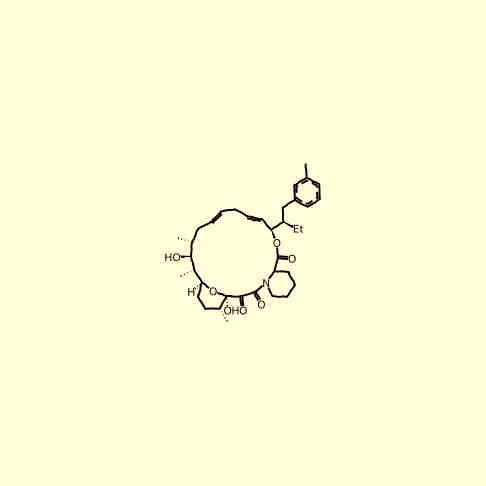 CC[C@H](Cc1cccc(C)c1)[C@@H]1/C=C/C/C=C/C[C@@H](C)[C@H](O)[C@@H](C)[C@@H]2CC[C@@H](C)[C@@](O)(O2)C(=O)C(=O)N2CCCCC2C(=O)O1